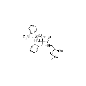 CC(NCC(O[SiH](C)C)C(C)(C)C)[C@](Cc1ccccc1)(NS(=O)(=O)c1ccccc1[N+](=O)[O-])C(=O)O